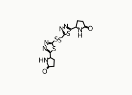 O=C1CCC(c2nnc(SSc3nnc(C4CCC(=O)N4)s3)s2)N1